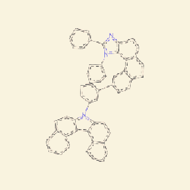 c1ccc(-c2nc3ccc4ccc5ccc(-c6cccc(-n7c8ccc9ccccc9c8c8c9ccccc9ccc87)c6)cc5c4c3n2-c2ccccc2)cc1